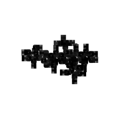 NC(=O)NO.OC[C@H]1O[C@@H](OC[C@H]2O[C@@H](O)[C@H](O)[C@@H](O[C@@H]3O[C@H](CO)[C@@H](O)[C@H](O[C@@H]4O[C@H](CO)[C@@H](O)[C@H](O[C@@H]5O[C@H](CO[C@@H]6O[C@H](CO)[C@@H](O)[C@H](O)[C@H]6O)[C@@H](O)[C@H](O[C@@H]6O[C@H](CO)[C@@H](O)[C@H](O)[C@H]6O)[C@H]5O)[C@H]4O)[C@H]3O)[C@@H]2O)[C@H](O)[C@@H](O)[C@@H]1O